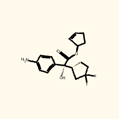 Nc1ccc([C@@](O)(C(=O)OC2C=CCC2)[C@@H]2CCC(F)(F)C2)cc1